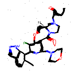 C=CC(=O)N1CCN2C(=O)c3c(N4CCOCC4)nc(-c4c(C)ccc5cn[nH]c45)c(F)c3OC[C@H]2C1